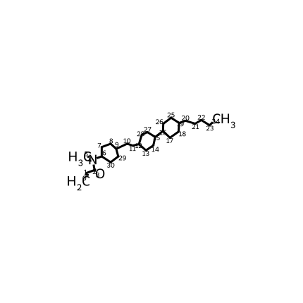 C=CC(=O)N(C)C1CCC(CCC2CCC(C3CCC(CCCCC)CC3)CC2)CC1